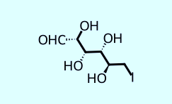 O=C[C@H](O)[C@@H](O)[C@H](O)[C@H](O)CI